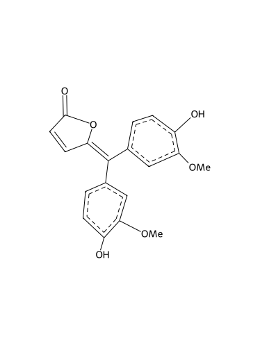 COc1cc(C(=C2C=CC(=O)O2)c2ccc(O)c(OC)c2)ccc1O